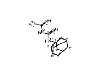 N=C(N)NC(=N)NC12CC3CC(CC(C3)C1)C2